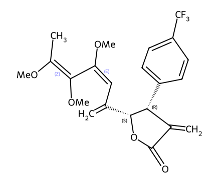 C=C(/C=C(OC)\C(OC)=C(/C)OC)[C@H]1OC(=O)C(=C)[C@H]1c1ccc(C(F)(F)F)cc1